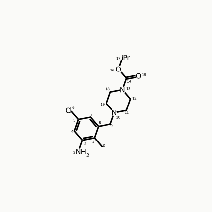 Cc1c(N)cc(Cl)cc1CN1CCN(C(=O)OC(C)C)CC1